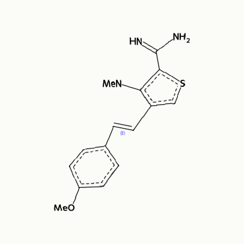 CNc1c(/C=C/c2ccc(OC)cc2)csc1C(=N)N